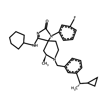 C[C@H](c1cccc(CN2CCC3(C[C@@H]2C)C(NC2CCCCC2)=NC(=O)N3c2cccc(F)c2)c1)C1CC1